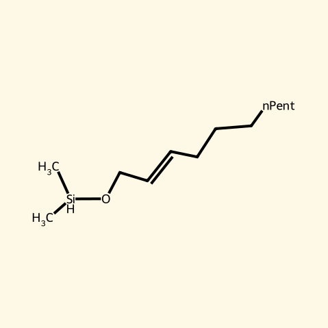 CCCCCCCCC=CCO[SiH](C)C